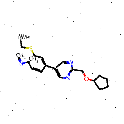 C=NC(=C)/C=C\C(=C/CSCNC)c1cnc(COC2CCCC2)nc1